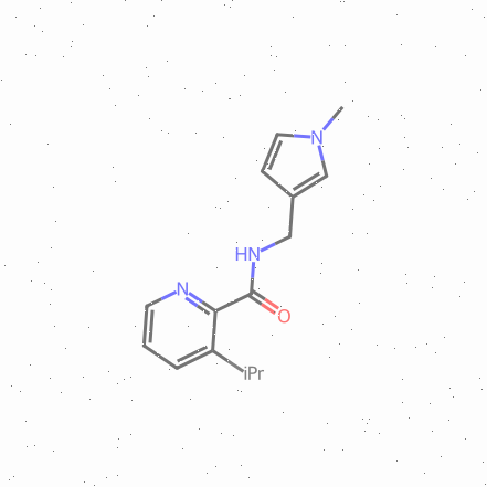 CC(C)c1cccnc1C(=O)NCc1ccn(C)c1